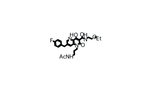 CCOCCNC(=O)c1c(O)c2ncc(Cc3ccc(F)cc3)cc2n(CCCNC(C)=O)c1=O